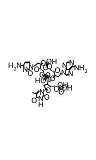 Cc1cn([C@H]2CC(OP(=O)(O)OC[C@H]3O[C@@H](n4ccc(N)nc4=O)CC3OP(=O)(O)OC[C@H]3O[C@@H](n4cnc5c(N)ncnc54)CC3O)[C@@H](COP(=O)(O)O)O2)c(=O)[nH]c1=O